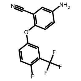 N#Cc1cc(N)ccc1Oc1ccc(F)c(C(F)(F)F)c1